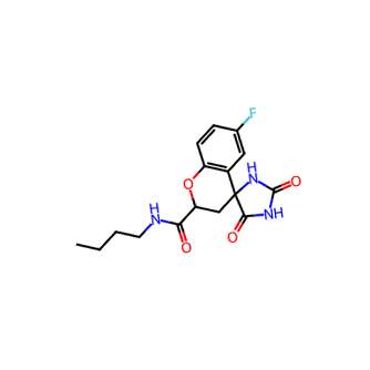 CCCCNC(=O)C1CC2(NC(=O)NC2=O)c2cc(F)ccc2O1